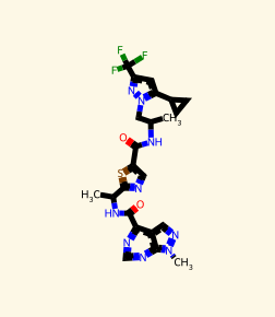 CC(Cn1nc(C(F)(F)F)cc1C1CC1)NC(=O)c1cnc(C(C)NC(=O)c2ncnc3c2cnn3C)s1